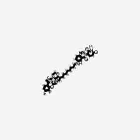 O=C1CCC(n2nnc3ccc(NCCCCCCCCCCNCCOc4c(-c5csc(N6CCOCC6)n5)ccc(F)c4F)cc3c2=O)C(=O)N1